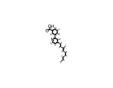 C/C=C/C=C\C=C(C)\C=C\c1ccnc(-c2cccc(C(=O)O)c2)c1